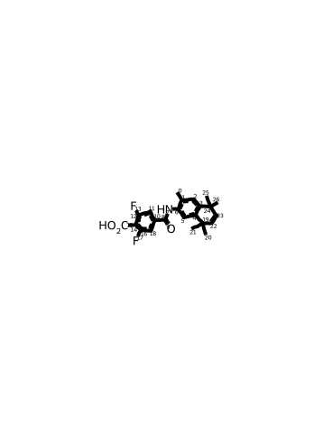 Cc1cc2c(cc1NC(=O)c1cc(F)c(C(=O)O)c(F)c1)C(C)(C)C=CC2(C)C